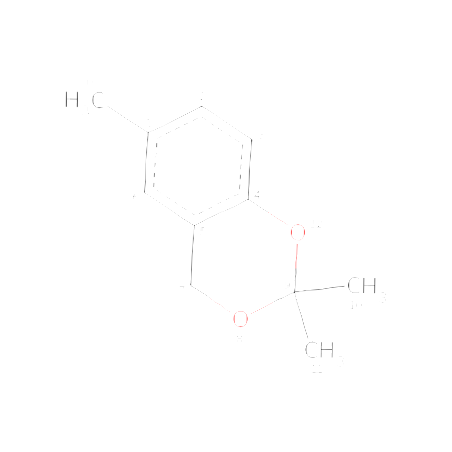 Cc1ccc2c(c1)COC(C)(C)O2